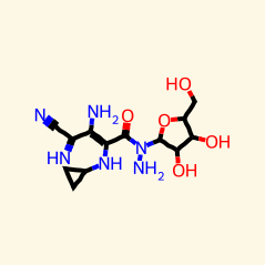 N#CC(=N)/C(N)=C(\NC1CC1)C(=O)N(N)C1OC(CO)C(O)C1O